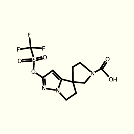 O=C(O)N1CCC2(CCn3nc(OS(=O)(=O)C(F)(F)F)cc32)C1